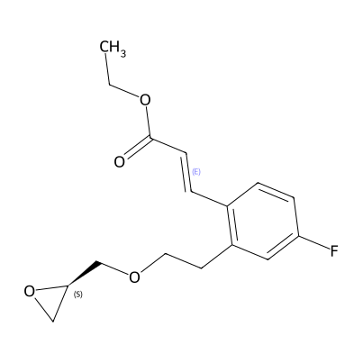 CCOC(=O)/C=C/c1ccc(F)cc1CCOC[C@H]1CO1